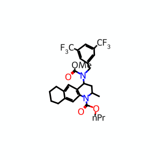 CCCOC(=O)N1c2cc3c(cc2C(N(Cc2cc(C(F)(F)F)cc(C(F)(F)F)c2)C(=O)OC)CC1C)CCCC3